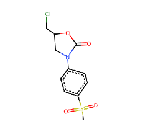 CS(=O)(=O)c1ccc(N2CC(CCl)OC2=O)cc1